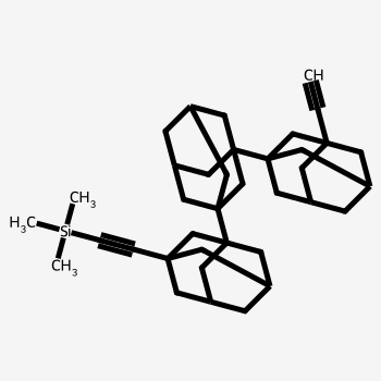 C#CC12CC3CC(C1)CC(C14CC5CC(C1)CC(C16CC7CC(CC(C#C[Si](C)(C)C)(C7)C1)C6)(C5)C4)(C3)C2